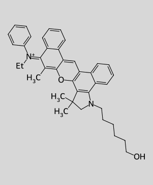 CC/[N+](c1ccccc1)=c1\c(C)c2oc3c4c(c5ccccc5c3cc-2c2ccccc12)N(CCCCCCO)CC4(C)C